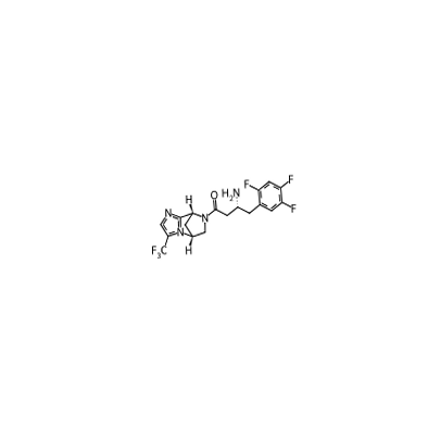 N[C@@H](CC(=O)N1C[C@H]2C[C@@H]1c1ncc(C(F)(F)F)n12)Cc1cc(F)c(F)cc1F